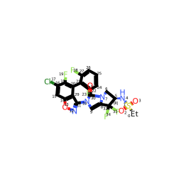 CCS(=O)(=O)N[C@@H]1Cn2c(cn(-c3noc4cc(Cl)c(F)c(-c5c(F)cccc5F)c34)c2=O)C1(F)F